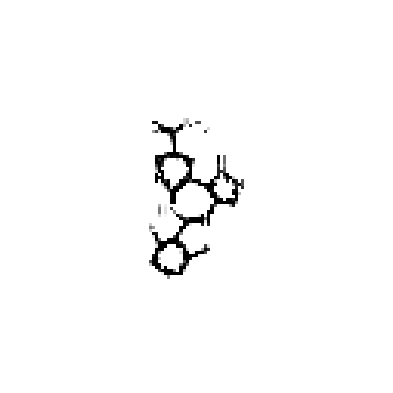 NC(=O)c1cnc2c(c1)-c1[nH]ncc1N=C(c1c(F)cccc1F)N2